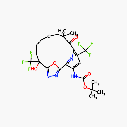 CC(C)(C)OC(=O)Nc1cc(C(F)(F)F)c2nc1-c1nnc(o1)C(O)(C(F)(F)F)CCCCCC(C)(C)C2=O